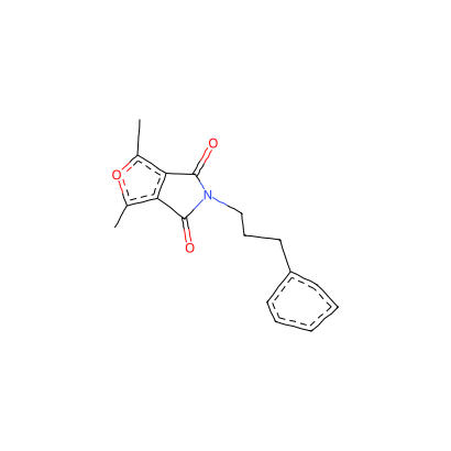 Cc1oc(C)c2c1C(=O)N(CCCc1ccccc1)C2=O